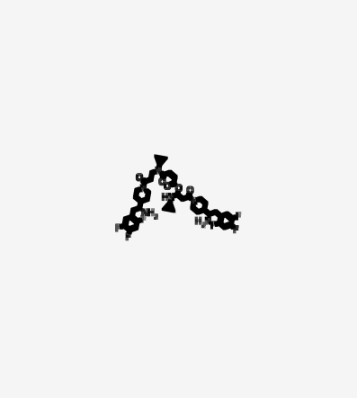 N[C@H](Cc1cc(F)c(F)cc1F)C1CCN(C(=O)CCN(C(=O)/C=C\C(=O)OC(CC(=O)N2CCC([C@H](N)Cc3cc(F)c(F)cc3F)CC2)NC2CC2)C2CC2)CC1